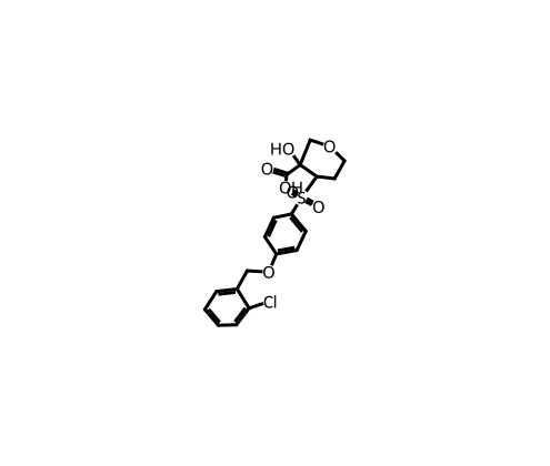 O=C(O)C1(O)COCCC1S(=O)(=O)c1ccc(OCc2ccccc2Cl)cc1